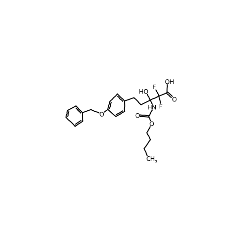 CCCCOC(=O)NC(O)(CCc1ccc(OCc2ccccc2)cc1)C(F)(F)C(=O)O